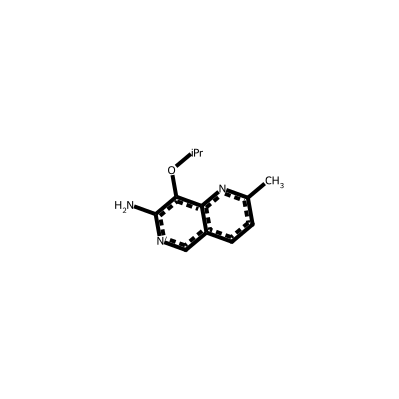 Cc1ccc2cnc(N)c(OC(C)C)c2n1